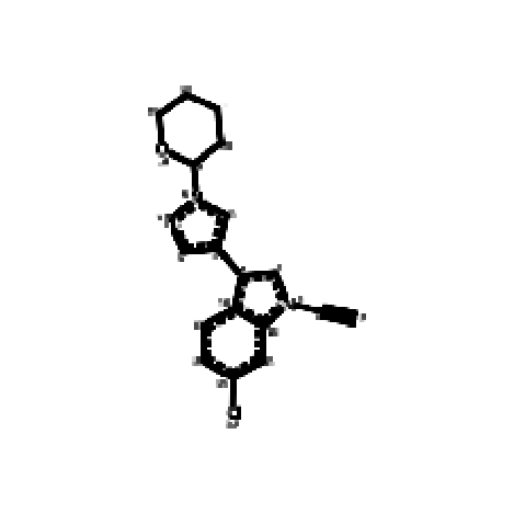 C#Cn1cc(-c2cnn(C3CCCCO3)c2)c2ccc(Cl)cc21